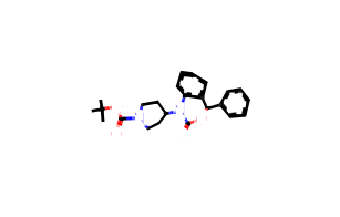 CC(C)(C)OC(=O)N1CCC(N2C(=O)OC(c3ccccc3)c3ccccc32)CC1